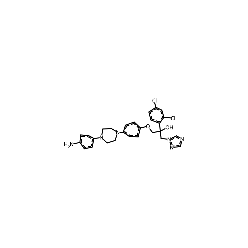 Nc1ccc(N2CCN(c3ccc(OCC(O)(Cn4cncn4)c4ccc(Cl)cc4Cl)cc3)CC2)cc1